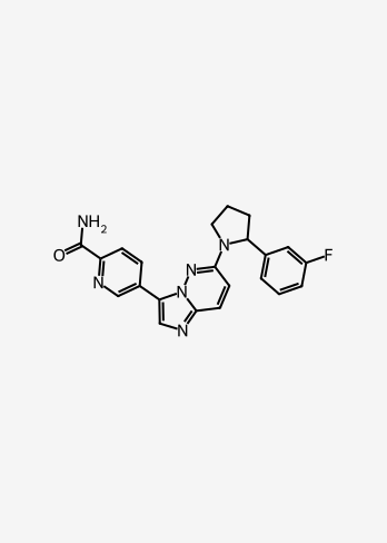 NC(=O)c1ccc(-c2cnc3ccc(N4CCCC4c4cccc(F)c4)nn23)cn1